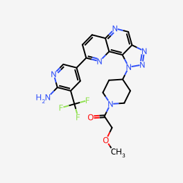 COCC(=O)N1CCC(n2nnc3cnc4ccc(-c5cnc(N)c(C(F)(F)F)c5)nc4c32)CC1